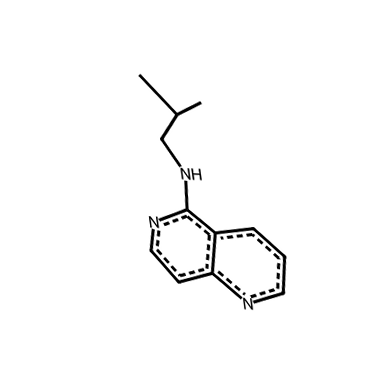 CC(C)CNc1nccc2ncccc12